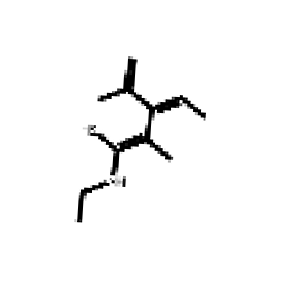 C=C(C)C(=C/C)/C(C)=C(\S)NCC